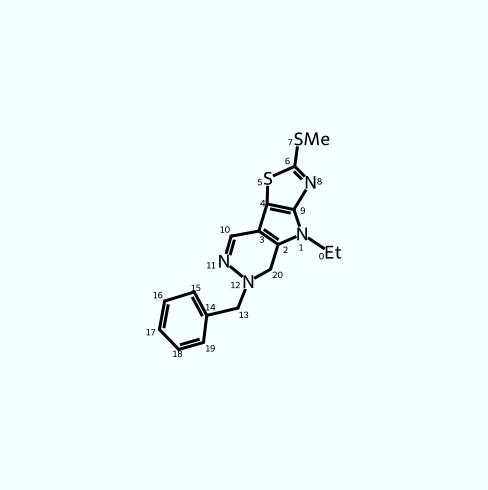 CCn1c2c(c3sc(SC)nc31)C=NN(Cc1ccccc1)C2